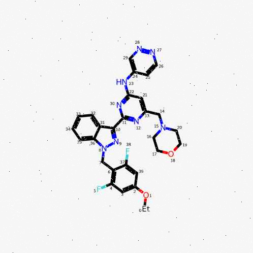 CCOc1cc(F)c(Cn2nc(-c3nc(CN4CCOCC4)cc(Nc4ccnnc4)n3)c3ccccc32)c(F)c1